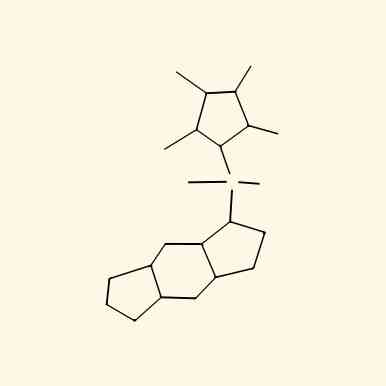 CC1C(C)C(C)C(S(C)(C)C2CCC3CC4CCCC4CC32)C1C